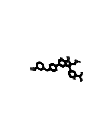 COCc1[nH]c2ncc(-c3ccc(CN4CCCC(O)C4)cc3)cc2c1-c1ccnc(C(F)F)c1